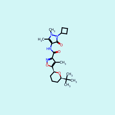 Cc1c(C(=O)Nc2c(C)n(C)n(C3CCC3)c2=O)noc1[C@@H]1CCC[C@H](C(C)(C)C)O1